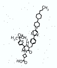 CCCC1CCC(C2CCN(c3cnc(-c4ccc(C[C@H](NC(=O)c5ccc(C(C)(C)C)s5)C(=O)N[C@H]5C[C@H](C(=O)O)C5)cc4)nc3)CC2)CC1